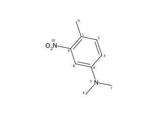 Cc1ccc(N(C)C)cc1[N+](=O)[O-]